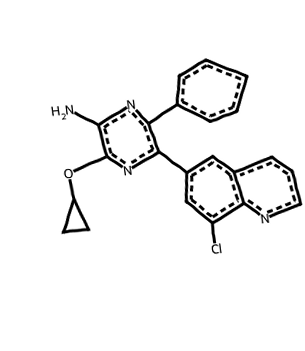 Nc1nc(-c2ccccc2)c(-c2cc(Cl)c3ncccc3c2)nc1OC1CC1